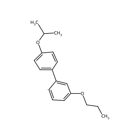 CCCOc1cc[c]c(-c2ccc(OC(C)C)cc2)c1